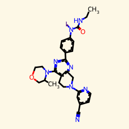 CCNC(=O)N(I)c1ccc(-c2nc3c(c(N4CCOCC4C)n2)CCN(c2cc(C#N)ccn2)C3)cc1